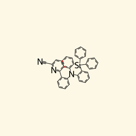 N#Cc1cccc(-c2ccccc2N2c3ccccc3[Si](c3ccccc3)(c3ccccc3)c3ccccc32)n1